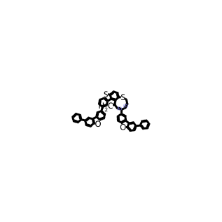 C=C1/C=C(c2ccc3oc4ccc(-c5ccccc5)cc4c3c2)\C=C/CSc2ccc3sc4ccc(-c5ccc6oc7ccc(-c8ccccc8)cc7c6c5)cc4c3c21